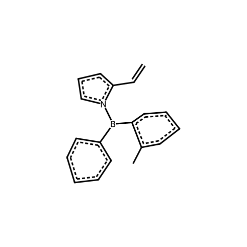 C=Cc1cccn1B(c1ccccc1)c1ccccc1C